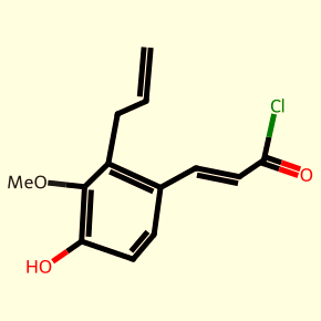 C=CCc1c(C=CC(=O)Cl)ccc(O)c1OC